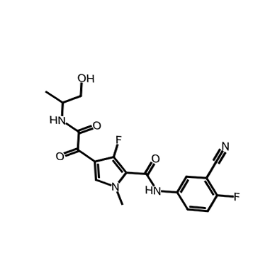 CC(CO)NC(=O)C(=O)c1cn(C)c(C(=O)Nc2ccc(F)c(C#N)c2)c1F